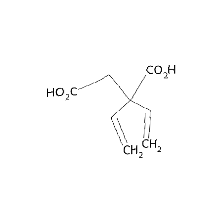 C=CC(C=C)(CC(=O)O)C(=O)O